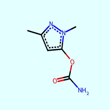 Cc1cc(OC(N)=O)n(C)n1